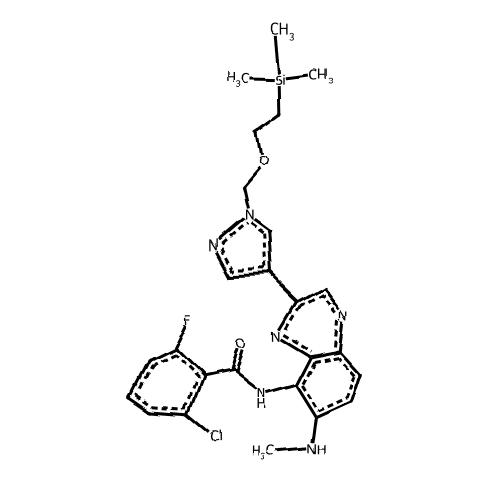 CNc1ccc2ncc(-c3cnn(COCC[Si](C)(C)C)c3)nc2c1NC(=O)c1c(F)cccc1Cl